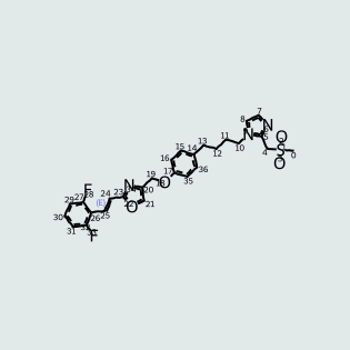 CS(=O)(=O)Cc1nccn1CCCCc1ccc(OCc2coc(/C=C/c3c(F)cccc3F)n2)cc1